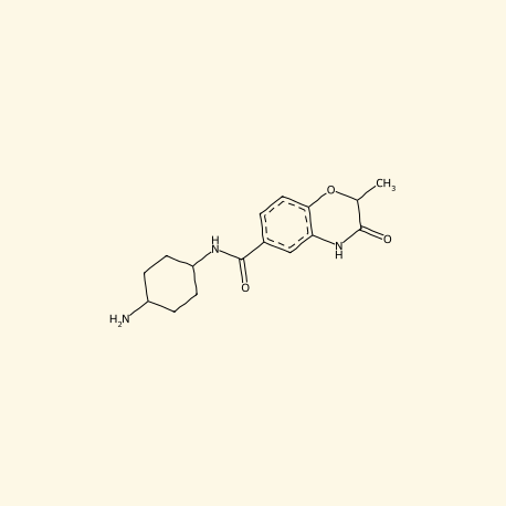 CC1Oc2ccc(C(=O)NC3CCC(N)CC3)cc2NC1=O